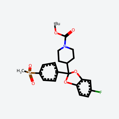 CC(C)(C)OC(=O)N1CCC(C2(c3ccc(S(C)(=O)=O)cc3)Oc3ccc(F)cc3O2)CC1